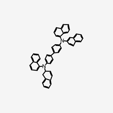 C1=CC(N(c2ccc(-c3ccc(N(c4ccc5ccccc5c4)c4cccc5ccccc45)cc3)cc2)c2cccc3ccccc23)Cc2ccccc21